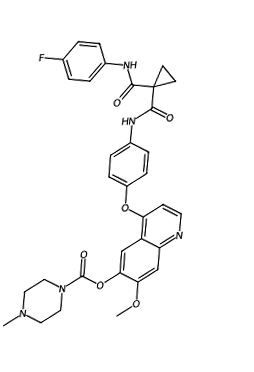 COc1cc2nccc(Oc3ccc(NC(=O)C4(C(=O)Nc5ccc(F)cc5)CC4)cc3)c2cc1OC(=O)N1CCN(C)CC1